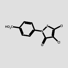 O=C(O)c1ccc(-n2sc(Cl)c(Cl)c2=O)cc1